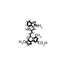 Cc1cc(C(=O)O)cc(-c2cnn(C)c2OCCCC(O)Cn2c(N)nc3ccccc32)n1